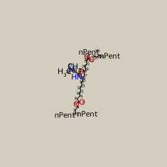 CCCCCC(CCCCC)CCOC(=O)CCCCCCCCC(CCCCCCC(=O)OCCC(CCCCC)CCCCC)NC(=O)CCN(C)C